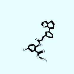 COC(=O)c1cc(Cl)ccc1NC(=O)/C=C/c1cccc(-c2cccc3cccnc23)c1